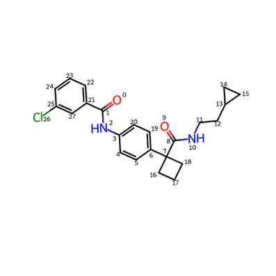 O=C(Nc1ccc(C2(C(=O)NCCC3CC3)CCC2)cc1)c1cccc(Cl)c1